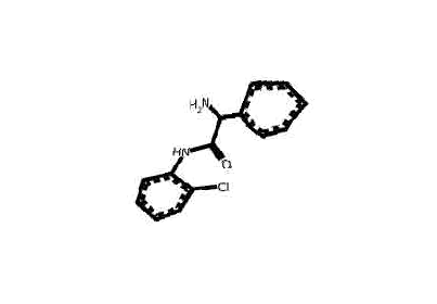 NC(C(=O)Nc1ccccc1Cl)c1ccccc1